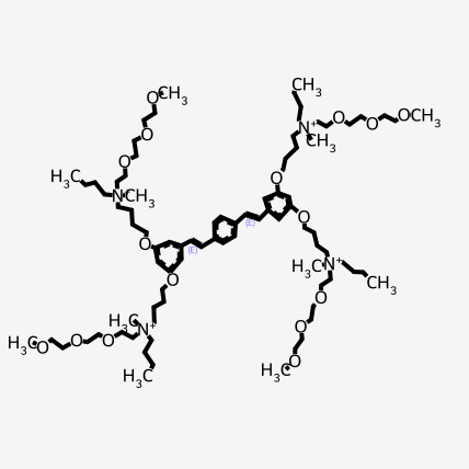 CCCC[N+](C)(CCCCOc1cc(/C=C/c2ccc(/C=C/c3cc(OCCCC[N+](C)(CCCC)CCOCCOCCOC)cc(OCCCC[N+](C)(CCCC)CCOCCOCCOC)c3)cc2)cc(OCCCC[N+](C)(CCCC)CCOCCOCCOC)c1)CCOCCOCCOC